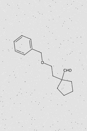 O=CC1(CCOCc2ccccc2)CCCC1